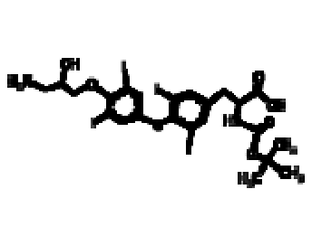 CC(C)(C)OC(=O)NC(Cc1cc(I)c(Oc2cc(I)c(OCC(O)CN)c(I)c2)c(I)c1)C(=O)O